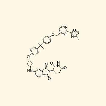 Cc1noc(-c2nccc(COc3ccc(C(C)(C)c4ccc(O[C@H]5C[C@H](Nc6ccc7c(c6)C(=O)N(C6CCC(=O)NC6=O)C7=O)C5)cc4)cc3)n2)n1